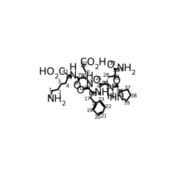 NCCCC[C@H](NC(=O)[C@H](CCC(=O)O)NC(=O)[C@H](Cc1ccccc1)NC(=O)[C@H](CCC(N)=O)NC(=O)[C@@H]1CCCN1)C(=O)O